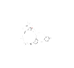 CO[C@H](C(=O)N(C)C)[C@@]1(O)/C=C/C[C@H](C)[C@@H](C)S(=O)(=O)NC(=O)c2ccc3c(c2)N(CCCCc2cc(Cl)ccc2CO3)C[C@@H]2CC[C@H]21